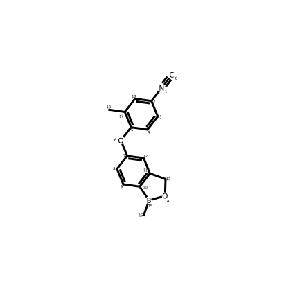 [C-]#[N+]c1ccc(Oc2ccc3c(c2)COB3C)c(C)c1